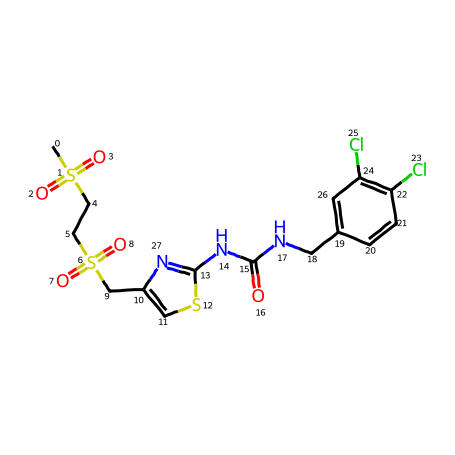 CS(=O)(=O)CCS(=O)(=O)Cc1csc(NC(=O)NCc2ccc(Cl)c(Cl)c2)n1